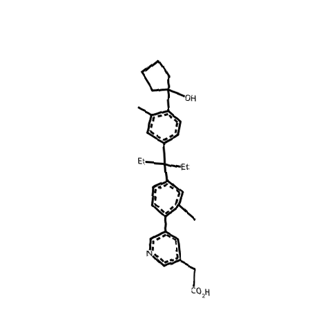 CCC(CC)(c1ccc(-c2cncc(CC(=O)O)c2)c(C)c1)c1ccc(C2(O)CCCC2)c(C)c1